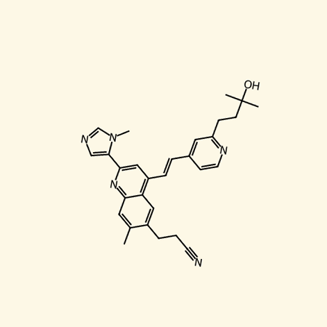 Cc1cc2nc(-c3cncn3C)cc(/C=C/c3ccnc(CCC(C)(C)O)c3)c2cc1CCC#N